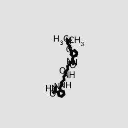 CN(C)CCOc1cccc(-c2noc(CCC(=O)NCCCNc3n[nH]c(=O)c4ccccc34)n2)c1